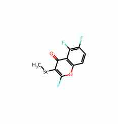 C[Se]c1c(F)oc2ccc(F)c(F)c2c1=O